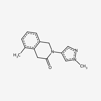 Cc1cccc2c1CC(=O)N(c1cnn(C)c1)C2